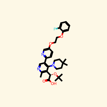 Cc1ncc(-c2ccc(OCCOc3ccccc3F)cn2)c(N2CCC(C)(C)CC2)c1[C@H](OC(C)(C)C)C(=O)O